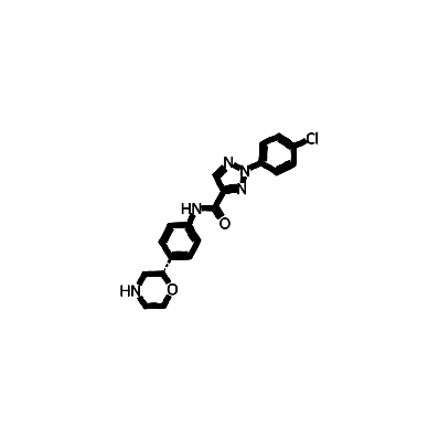 O=C(Nc1ccc([C@H]2CNCCO2)cc1)c1cnn(-c2ccc(Cl)cc2)n1